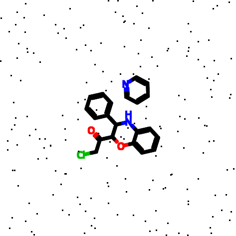 O=C(CCl)C1Oc2ccccc2NC1c1ccccc1.c1ccncc1